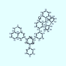 C1=Cc2cc(-c3nc(-c4ccccc4)nc(-c4cccc(-c5ccc6c(c5)C5(c7ccccc7O6)c6ccccc6-c6ccccc65)c4)n3)cc3cccc(c23)C1